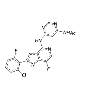 CC(=O)Nc1cc(Nc2ncc(F)c3nn(-c4c(F)cccc4Cl)cc23)ncn1